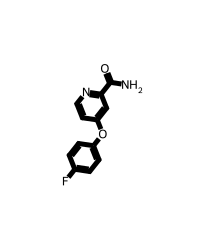 NC(=O)c1cc(Oc2ccc(F)cc2)ccn1